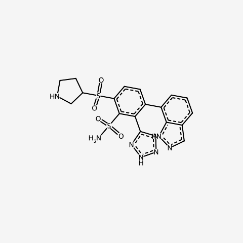 NS(=O)(=O)c1c(S(=O)(=O)C2CCNC2)ccc(-c2cccc3cn[nH]c23)c1-c1nn[nH]n1